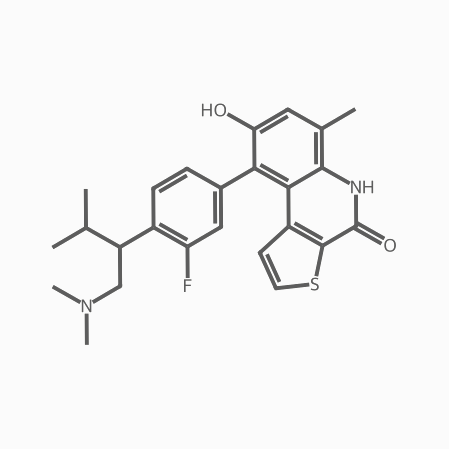 Cc1cc(O)c(-c2ccc(C(CN(C)C)C(C)C)c(F)c2)c2c1[nH]c(=O)c1sccc12